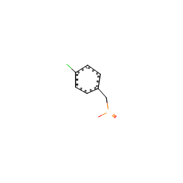 O=[PH](O)Cc1ccc(Cl)cc1